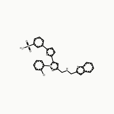 CS(=O)(=O)c1cccc(-c2ccc(-c3cc(CNCc4cc5ccccc5s4)nn3-c3ccccc3Cl)s2)c1